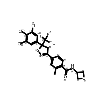 Cc1cc(C2=NSC(c3cc(Cl)c(Cl)c(Cl)c3)(C(F)(F)F)C2)ccc1C(=O)NC1COC1